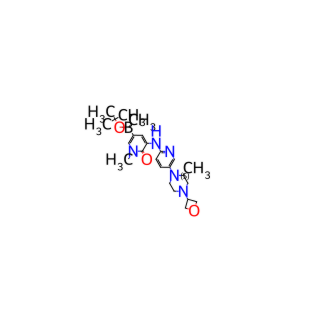 CB(OC(C)(C)C)c1cc(Nc2ccc(N3CCN(C4COC4)C[C@@H]3C)cn2)c(=O)n(C)c1